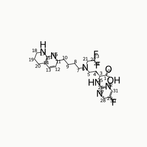 O=C(O)[C@H](CCN(CCCCc1ccc2c(n1)NCCC2)CC(F)F)Nc1ncc(F)cn1